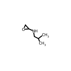 CC(C)CNC1CO1